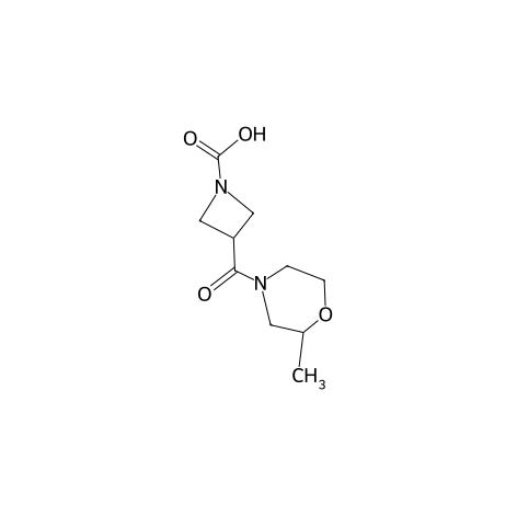 CC1CN(C(=O)C2CN(C(=O)O)C2)CCO1